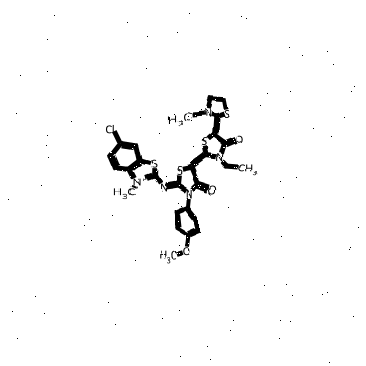 CCn1c(=O)/c(=C2\SCCN2C)s/c1=C1\S/C(=N\c2sc3cc(Cl)ccc3[n+]2C)N(c2ccc(OC)cc2)C1=O